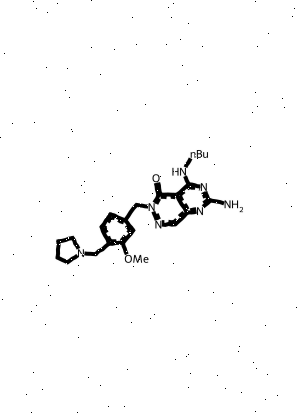 CCCCNc1nc(N)nc2cnn(Cc3ccc(CN4CCCC4)c(OC)c3)c(=O)c12